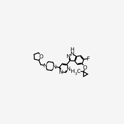 CC1(Oc2cc3c(-c4cc(N5CCN(CC6CCCO6)CC5)ncn4)n[nH]c3cc2F)CC1